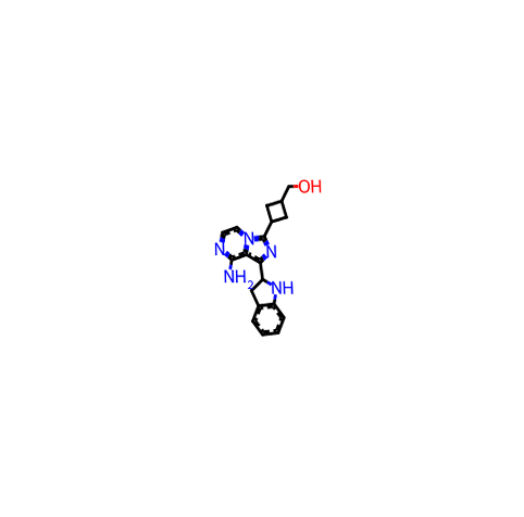 Nc1nccn2c(C3CC(CO)C3)nc(C3Cc4ccccc4N3)c12